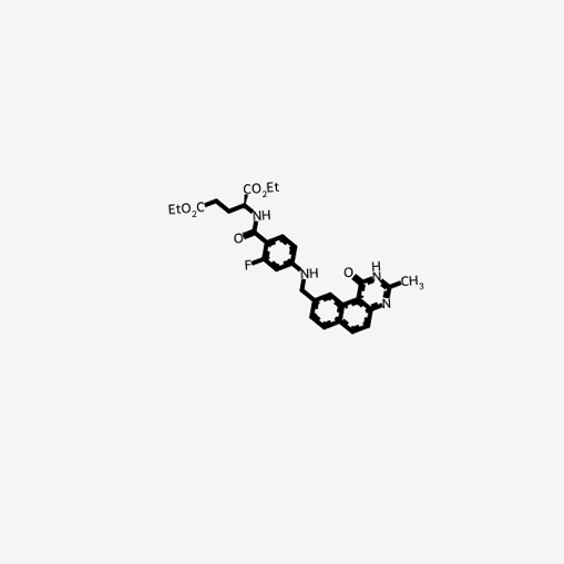 CCOC(=O)CC[C@H](NC(=O)c1ccc(NCc2ccc3ccc4nc(C)[nH]c(=O)c4c3c2)cc1F)C(=O)OCC